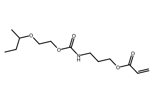 C=CC(=O)OCCCNC(=O)OCCOC(C)CC